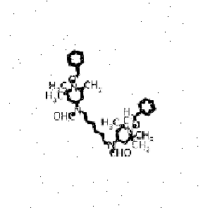 C=C1CC(N(C=O)CCCCCCN(C=O)C2CC(C)(C)N(OCc3ccccc3)C(C)(C)C2)CC(C)(C)N1OCc1ccccc1